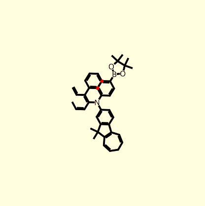 C=C/C(=C(\C=C/C)N(c1ccc(B2OC(C)(C)C(C)(C)O2)cc1)c1ccc2c(c1)C(C)(C)C1=C2C=CCC=C1)c1ccccc1